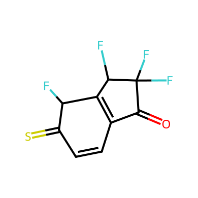 O=C1C2=C(C(F)C(=S)C=C2)C(F)C1(F)F